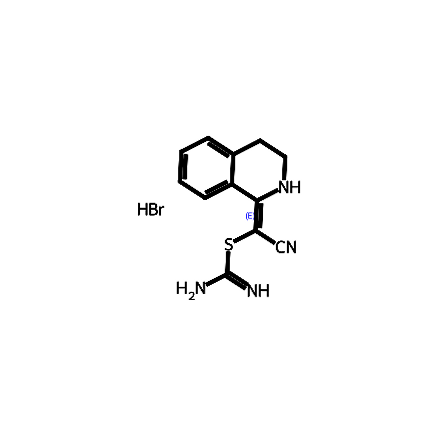 Br.N#C/C(SC(=N)N)=C1\NCCc2ccccc21